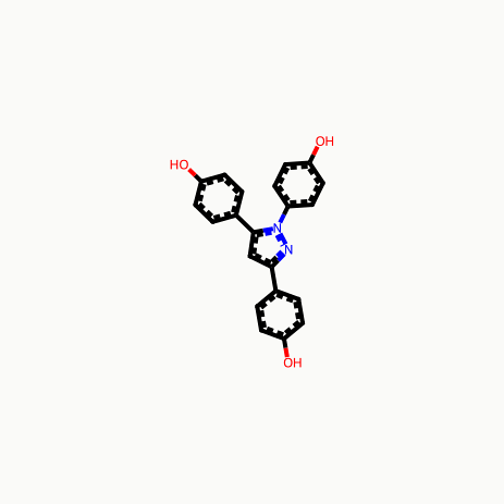 Oc1ccc(-c2cc(-c3ccc(O)cc3)n(-c3ccc(O)cc3)n2)cc1